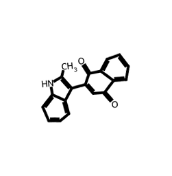 Cc1[nH]c2ccccc2c1C1=CC(=O)c2ccccc2C1=O